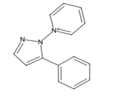 c1ccc(-c2ccnn2-[n+]2ccccc2)cc1